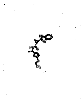 CC(NC(=O)[C@@H]1C[C@H]1c1nc2ccccc2[nH]1)c1ccc(OCC(F)(F)F)s1